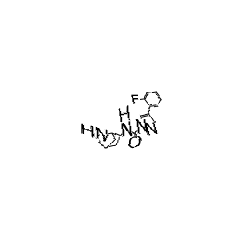 O=C(NC1CC2CNC1C2)n1cc(-c2ccccc2F)cn1